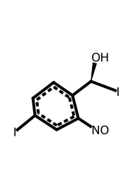 O=Nc1cc(I)ccc1[C@@H](O)I